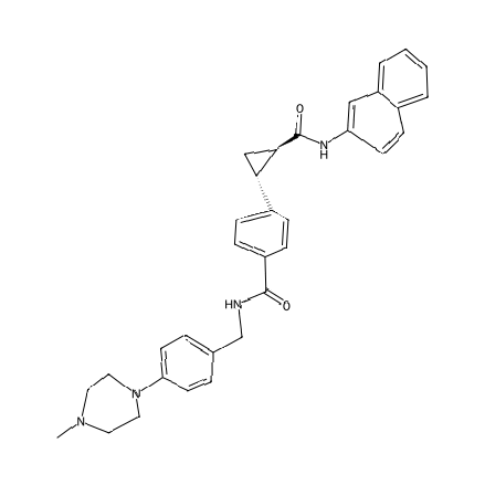 CN1CCN(c2ccc(CNC(=O)c3ccc([C@@H]4C[C@H]4C(=O)Nc4ccc5ccccc5c4)cc3)cc2)CC1